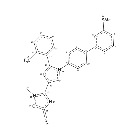 CSc1cccc(-c2ccc(-n3cc(-c4nc(=S)on4C)cc3-c3ccccc3C(F)(F)F)cc2)c1